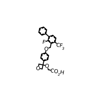 O=C(O)COC1(c2ccc(OCc3c(C(F)(F)F)ccc(-c4ccccc4)c3F)cc2)COC1